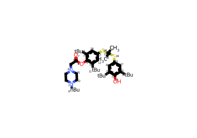 CCCCN1CCN(CC(=O)Oc2c(C(C)(C)C)cc(SC(C)(C)Sc3cc(C(C)(C)C)c(O)c(C(C)(C)C)c3)cc2C(C)(C)C)CC1